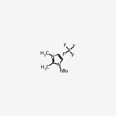 CCCCn1cc[n+](C)c1C.F[B-](F)(F)F